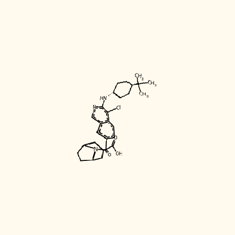 CC(C)(C)[C@H]1CC[C@H](Nc2ncc3cc(C(=O)N4C5CCC4CC(C(=O)O)C5)ccc3c2Cl)CC1